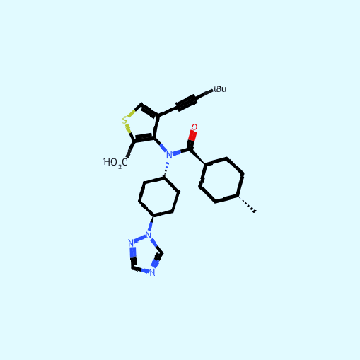 CC(C)(C)C#Cc1csc(C(=O)O)c1N(C(=O)[C@H]1CC[C@H](C)CC1)[C@H]1CC[C@H](n2cncn2)CC1